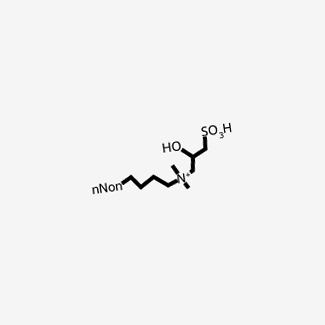 CCCCCCCCCCCCC[N+](C)(C)CC(O)CS(=O)(=O)O